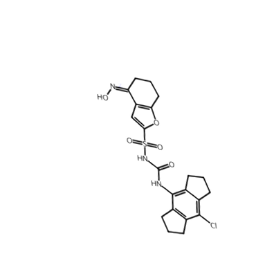 O=C(Nc1c2c(c(Cl)c3c1CCC3)CCC2)NS(=O)(=O)c1cc2c(o1)CCC/C2=N/O